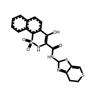 O=C(NC1N=C2CCSC=C2S1)C1=C(O)c2ccc3ccccc3c2S(=O)(=O)N1